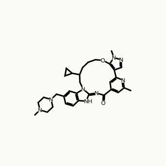 Cc1cc2cc(n1)-c1cnn(C)c1OCCCC(C1CC1)CN1/C(=N/C2=O)Nc2ccc(CN3CCN(C)CC3)cc21